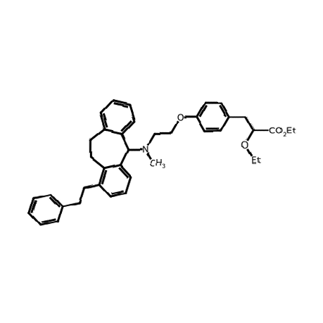 CCOC(=O)C(Cc1ccc(OCCN(C)C2c3ccccc3CCc3c(CCc4ccccc4)cccc32)cc1)OCC